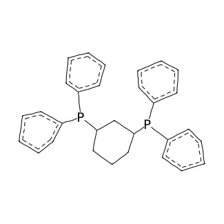 c1ccc(P(c2ccccc2)C2CCCC(P(c3ccccc3)c3ccccc3)C2)cc1